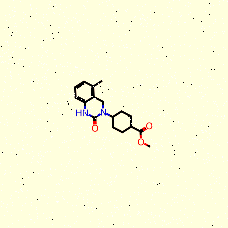 COC(=O)C1CCC(N2Cc3c(C)cccc3NC2=O)CC1